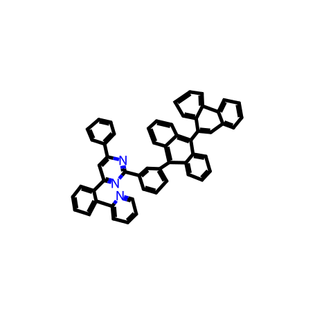 c1ccc(-c2cc(-c3ccccc3-c3ccccn3)nc(-c3cccc(-c4c5ccccc5c(-c5cc6ccccc6c6ccccc56)c5ccccc45)c3)n2)cc1